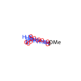 COc1ccc2c3c(c4ccccc4cc13)C(=O)N(CCN1CCN(CCNC(=O)c3ccc(NC(=O)OCc4ccc(NC(=O)[C@@H](CCCNC(N)=O)NC(=O)CNC(=O)CCCCCN5C(=O)CCC5=O)cc4)cc3)CC1)C2=O